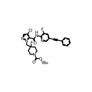 CC(C)(C)OC(=O)N1CCC(F)(Cn2ncc(Cl)c2C(=O)Nc2ncc(C#Cc3ccccc3)cc2F)CC1